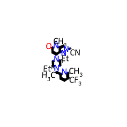 CC[C@H]1CN(C(C)c2ccc(C(F)(F)F)c(C)n2)[C@H](CC)CN1c1cc(=O)n(C)c2cn(CC#N)nc12